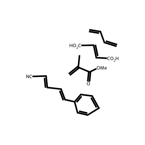 C=C(C)C(=O)OC.C=CC=C.N#CC=CC=Cc1ccccc1.O=C(O)C=CC(=O)O